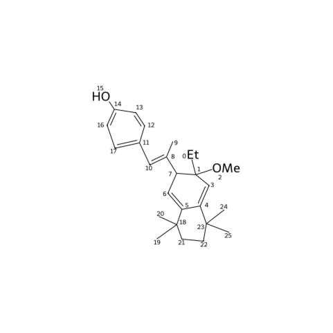 CCC1(OC)C=C2C(=CC1C(C)=Cc1ccc(O)cc1)C(C)(C)CCC2(C)C